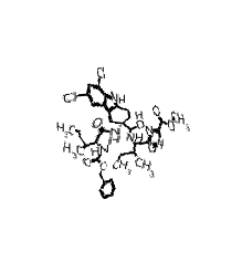 CCC(C)[C@H](NC(=O)OCc1ccccc1)C(=O)N[C@@]1(C(O)N[C@H](c2nc(C(=O)OC)no2)C(C)CC)CCc2[nH]c3c(Cl)cc(Cl)cc3c2C1